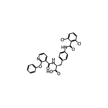 O=C(N[C@@H](Cc1ccc(NC(=O)c2c(Cl)cccc2Cl)cc1)C(=O)O)c1cccnc1Oc1ccccc1